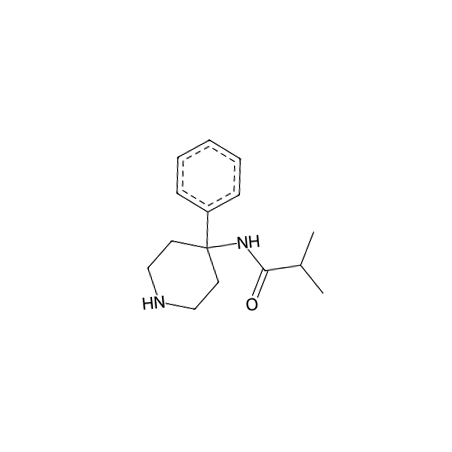 CC(C)C(=O)NC1(c2ccccc2)CCNCC1